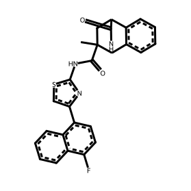 CC1(C(=O)Nc2nc(-c3ccc(F)c4ccccc34)cs2)CC2C(=O)NC1c1ccccc12